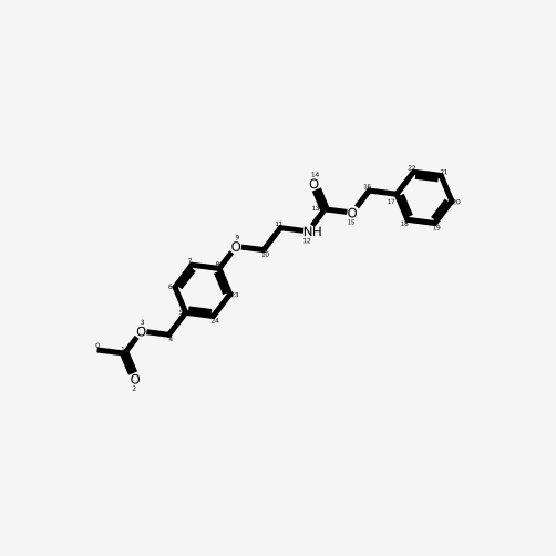 CC(=O)OCc1ccc(OCCNC(=O)OCc2ccccc2)cc1